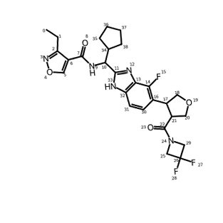 CCc1nocc1C(=O)NC(c1nc2c(F)c(C3COCC3C(=O)N3CC(F)(F)C3)ccc2[nH]1)C1CCCC1